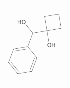 OC(c1ccccc1)C1(O)CCC1